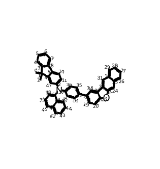 CC1(C)c2ccccc2-c2ccc(N(c3ccc(-c4ccc5oc6cc7ccccc7cc6c5c4)cc3)c3cccc4ccccc34)cc21